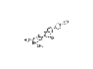 Cc1cn2nc(-c3cc(=O)n4cc(C5CCN(C6COC6)CC5)ccc4n3)cc2c(C)n1